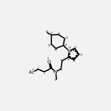 CC(=O)CCC(=O)N(C)CCc1cccn1C1CCC(C)CC1